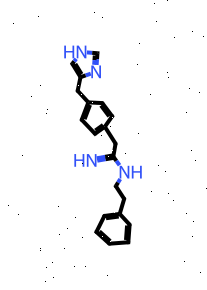 N=C(Cc1ccc(Cc2c[nH]cn2)cc1)NCCc1ccccc1